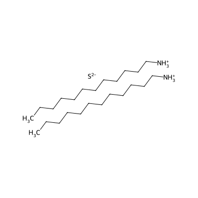 CCCCCCCCCCCC[NH3+].CCCCCCCCCCCC[NH3+].[S-2]